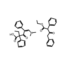 CCC(C(=O)O)(C(=O)C(=CN(C)C)c1ccccc1)c1ccccc1.CCOC(=O)C(C(=O)Cc1ccccc1)c1ccccc1